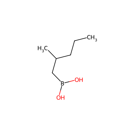 CCCC(C)CB(O)O